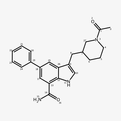 CC(=O)N1CCCC(Cc2c[nH]c3c(C(N)=O)cc(-c4ccccc4)cc23)C1